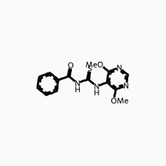 COc1ncnc(OC)c1NC(=S)NC(=O)c1ccccc1